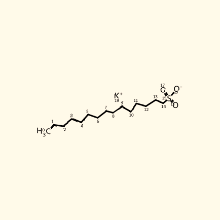 CCCCCCCCCCCCCCCS(=O)(=O)[O-].[K+]